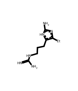 CCc1nc(N)[nH]c1CCCNC(=N)N